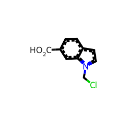 O=C(O)c1ccc2ccn(CCl)c2c1